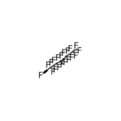 FC#CC(F)(F)C(F)(F)C(F)(F)C(F)(F)C(F)(F)C(F)(F)C(F)(F)C(F)(F)[C](F)F